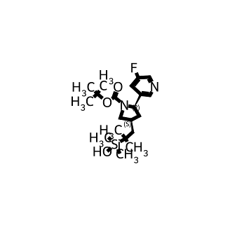 CC(C)(C)OC(=O)N1C[C@H](CC(C)(C)[Si](C)(C)O)C[C@@H]1c1cncc(F)c1